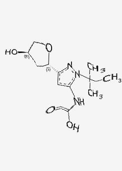 CC(C)(C)n1nc([C@@H]2C[C@@H](O)CO2)cc1NC(=O)O